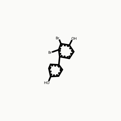 Oc1ccc(-c2ccc(O)c(Br)c2Br)cc1